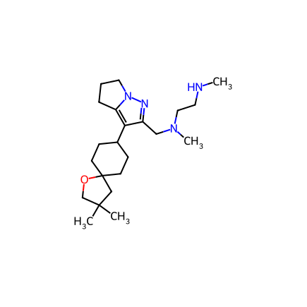 CNCCN(C)Cc1nn2c(c1C1CCC3(CC1)CC(C)(C)CO3)CCC2